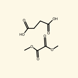 COC(=O)C(=O)OC.O=C(O)CCC(=O)O